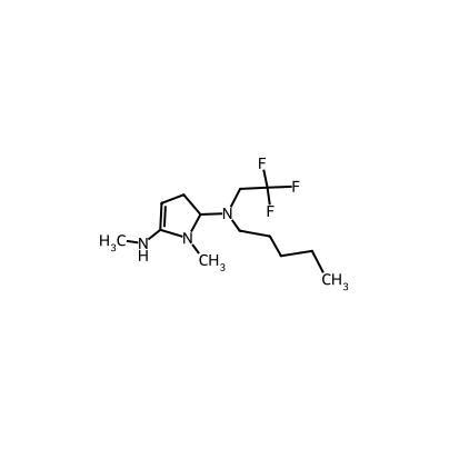 CCCCCN(CC(F)(F)F)C1CC=C(NC)N1C